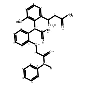 CCCCc1cccc(C(CC(N)=O)C(=O)O)c1N(C(N)=O)c1ccccc1OCC(=O)N(C)c1ccccc1